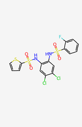 O=S(=O)(Nc1cc(Cl)c(Cl)cc1NS(=O)(=O)c1ccccc1F)c1cccs1